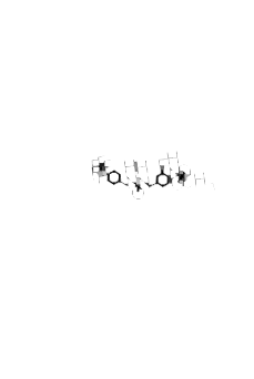 CS(=O)(=O)Nc1ccc(CNC(=O)NCc2ccc(S(F)(F)(F)(F)F)cc2)cc1F